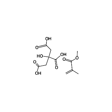 C=C(C)C(=O)OC.O=C(O)CC(O)(CC(=O)O)C(=O)O